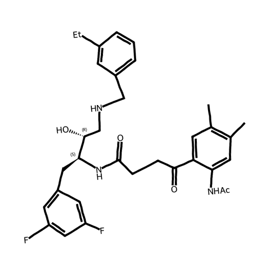 CCc1cccc(CNC[C@@H](O)[C@H](Cc2cc(F)cc(F)c2)NC(=O)CCC(=O)c2cc(C)c(C)cc2NC(C)=O)c1